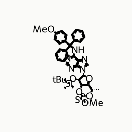 COc1ccc(C(Nc2ncnc3c2ncn3[C@@H]2OC3C(OP(=S)(OC)O[C@H]3C)[C@H]2O[Si](C)(C)C(C)(C)C)(c2ccccc2)c2ccccc2)cc1